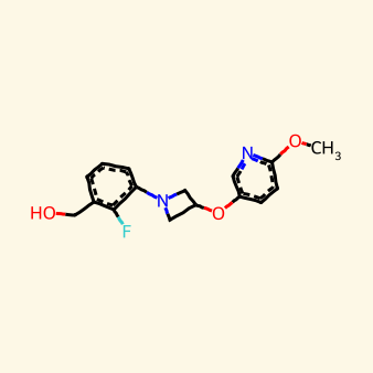 COc1ccc(OC2CN(c3cccc(CO)c3F)C2)cn1